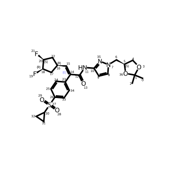 CC1(C)OC[C@H](Cn2ccc(NC(=O)/C(=C/[C@H]3C[C@@H](F)[C@@H](F)C3)c3ccc(S(=O)(=O)C4CC4)cc3)n2)O1